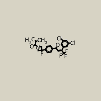 CC(C)C(=O)N1CC(F)(c2ccc(C(=O)/C=C(\c3cc(Cl)cc(Cl)c3)C(F)(F)F)cc2)C1